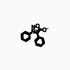 [O-]c1on[n+](-c2ccccc2)c1-c1ccccc1